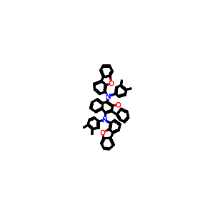 Cc1ccc(N(c2cccc3c2oc2ccccc23)c2c3ccccc3c(N(c3ccc(C)c(C)c3)c3cccc4c3oc3ccccc34)c3c2oc2ccccc23)cc1C